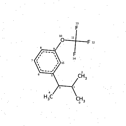 CC(C)C(C)c1cccc(OC(F)(F)F)c1